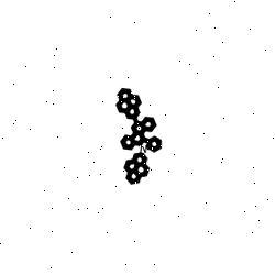 c1cc2ccc3cc(-c4cc5c6ccccc6c6c(c7ccccc7n6-c6cc7ccc8cccc9ccc(c6)c7c89)c5c5ccccc45)cc4ccc(c1)c2c34